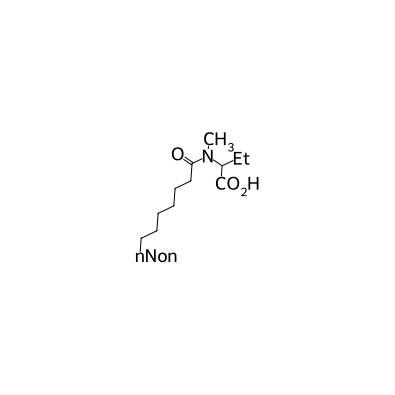 CCCCCCCCCCCCCCCC(=O)N(C)C(CC)C(=O)O